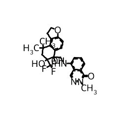 Cn1ncc2c(NCC3(O)c4ccc5c(c4C(C)(C)CC3(O)C(F)(F)F)CCO5)cccc2c1=O